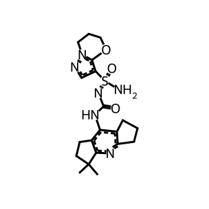 CC1(C)CCc2c1nc1c(c2NC(=O)N=S(N)(=O)c2cnn3c2OCCC3)CCC1